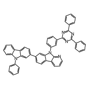 c1ccc(-c2nc(-c3ccccc3)nc(-c3cccc(-n4c5cc(-c6ccc7c8ccccc8n(-c8ccccc8)c7c6)ccc5c5cccnc54)c3)n2)cc1